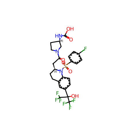 O=C(O)N[C@@H]1CCN(C(=O)C[C@@H]2CCc3cc(C(O)(C(F)(F)F)C(F)(F)F)ccc3N2S(=O)(=O)c2ccc(F)cc2)C1